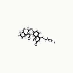 CCCCc1cc(=O)oc2c(C(=O)N3CCCc4ccccc43)c(O)ccc12